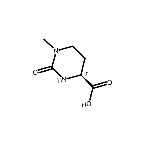 CN1CC[C@@H](C(=O)O)NC1=O